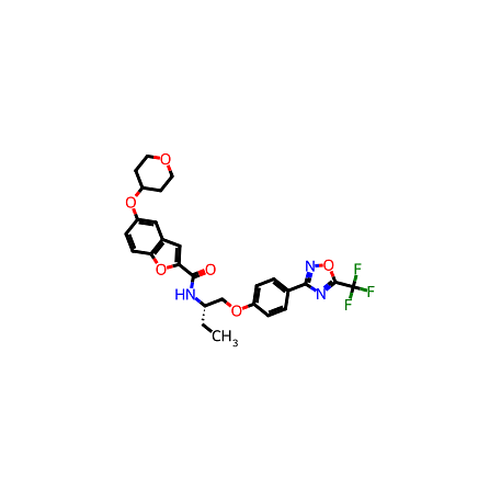 CC[C@@H](COc1ccc(-c2noc(C(F)(F)F)n2)cc1)NC(=O)c1cc2cc(OC3CCOCC3)ccc2o1